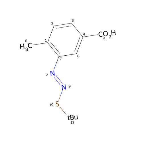 Cc1ccc(C(=O)O)cc1/N=N/SC(C)(C)C